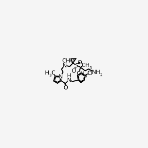 Cc1ccc(C(=O)NCc2ccc(Cl)cc2)n1CCN(C=O)CC1(S(=O)(=O)C(C)(C)CCN)CC1